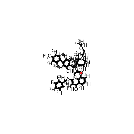 [2H]C1=C(SC([2H])([2H])c2c([2H])c([2H])c([2H])c(F)c2F)N(CC(=O)N(C([2H])([2H])c2c([2H])c([2H])c(-c3c([2H])c([2H])c(C(F)(F)F)c([2H])c3[2H])c([2H])c2C)C2([2H])C([2H])([2H])C([2H])([2H])N(C([2H])([2H])COC([2H])([2H])[2H])C([2H])([2H])C2([2H])[2H])c2c([2H])c([2H])c([2H])c([2H])c2C1O